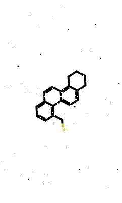 SCc1cccc2ccc3c4c(ccc3c12)CCCC4